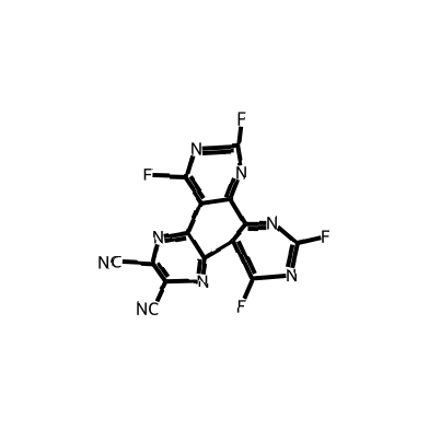 N#Cc1nc2c(nc1C#N)c1c(F)nc(F)nc1c1nc(F)nc(F)c12